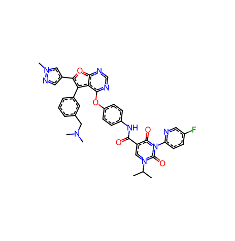 CC(C)n1cc(C(=O)Nc2ccc(Oc3ncnc4oc(-c5cnn(C)c5)c(-c5cccc(CN(C)C)c5)c34)cc2)c(=O)n(-c2ccc(F)cn2)c1=O